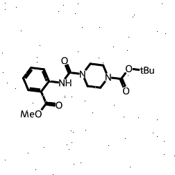 COC(=O)c1ccccc1NC(=O)N1CCN(C(=O)OC(C)(C)C)CC1